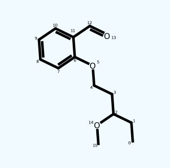 CCC(CCOc1ccccc1C=O)OC